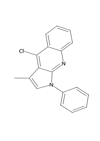 Cc1cn(-c2ccccc2)c2nc3ccccc3c(Cl)c12